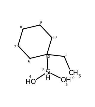 CCC1([SiH](O)O)CCCCC1